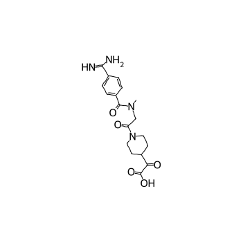 CN(CC(=O)N1CCC(C(=O)C(=O)O)CC1)C(=O)c1ccc(C(=N)N)cc1